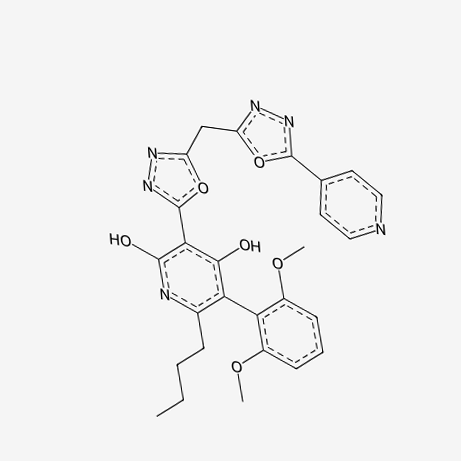 CCCCc1nc(O)c(-c2nnc(Cc3nnc(-c4ccncc4)o3)o2)c(O)c1-c1c(OC)cccc1OC